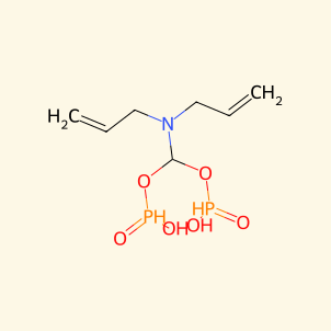 C=CCN(CC=C)C(O[PH](=O)O)O[PH](=O)O